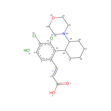 Cl.O=C(O)/C=C/c1ccc(Cl)c(Cl)c1C1CCCCC1N1CCOCC1